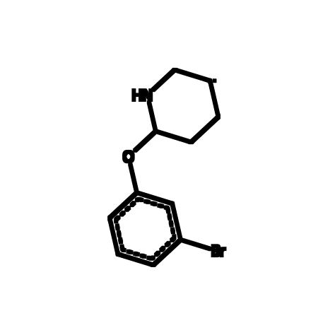 Brc1cccc(OC2CC[CH]CN2)c1